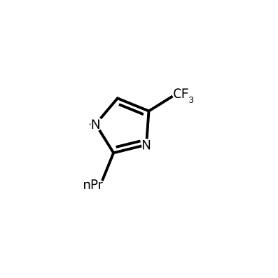 CCCC1=NC(C(F)(F)F)=C[N]1